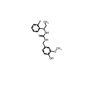 CCC(NC(=S)NCc1ccc(O)c(OC)c1)c1ccccc1F